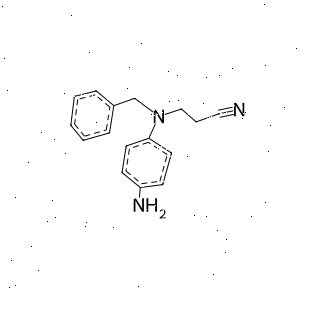 N#CCCN(Cc1ccccc1)c1ccc(N)cc1